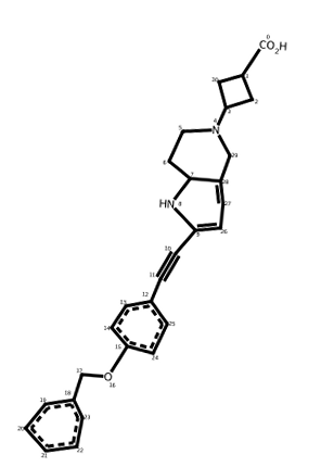 O=C(O)C1CC(N2CCC3NC(C#Cc4ccc(OCc5ccccc5)cc4)=CC=C3C2)C1